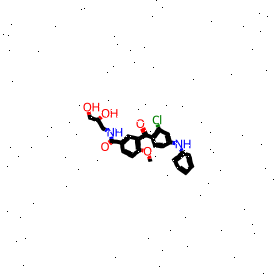 COc1ccc(C(=O)NCC(O)CO)cc1C(=O)c1ccc(Nc2ccccc2)cc1Cl